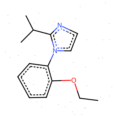 CCOc1ccccc1-n1ccnc1C(C)C